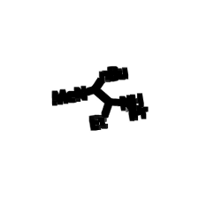 CCCCC(NC)C(CC)NC(C)C